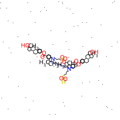 CC1(C)C(/C=C/C=C/C=C/C=C2\N(CCCCS(=O)(=O)[O-])c3ccc(C(=O)Oc4ccc5c(c4)CCC4C5CCC5(C)C(O)CCC45)cc3C2(C)C)=[N+](CCCC[SH](=O)=O)c2ccc(C(=O)Oc3ccc4c(c3)CCC3C4CCC4(C)C(O)CCC34)cc21